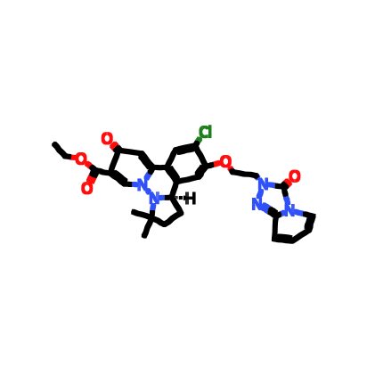 CCOC(=O)c1cn2c(cc1=O)-c1cc(Cl)c(OCCn3nc4ccccn4c3=O)cc1[C@H]1CCC(C)(C)N12